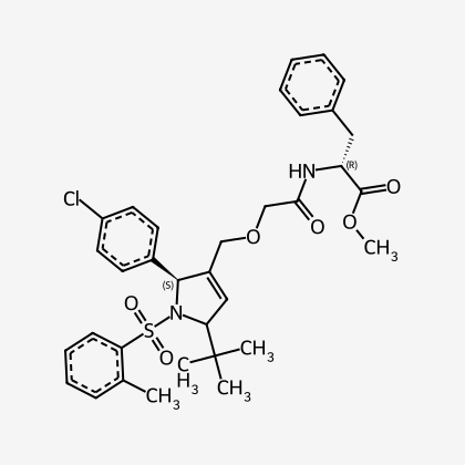 COC(=O)[C@@H](Cc1ccccc1)NC(=O)COCC1=CC(C(C)(C)C)N(S(=O)(=O)c2ccccc2C)[C@H]1c1ccc(Cl)cc1